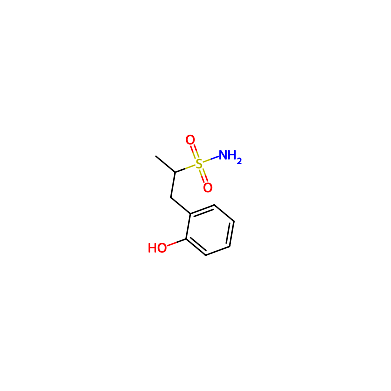 CC(Cc1ccccc1O)S(N)(=O)=O